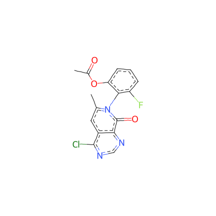 CC(=O)Oc1cccc(F)c1-n1c(C)cc2c(Cl)ncnc2c1=O